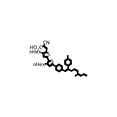 C=C/C=C(C)\C=C/C/C(=C/c1ccc(-c2cc(CCCCCC)c(-c3cc(CCCCCC)c(/C=C(/C#N)C(=O)O)s3)s2)cc1)c1ccc(C)cc1